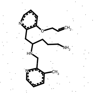 C=CCOc1cccnc1CC(CCCN)NCc1ncccc1C